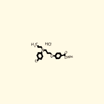 C=CCN(CCCOc1ccc(C(=O)OC)cc1)c1ccc(Cl)cc1.Cl